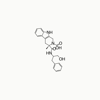 C[C@@]1(C(=O)NC(CO)Cc2ccccc2)Cc2c([nH]c3ccccc23)CN1C(=O)O